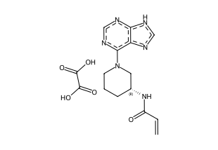 C=CC(=O)N[C@@H]1CCCN(c2ncnc3[nH]cnc23)C1.O=C(O)C(=O)O